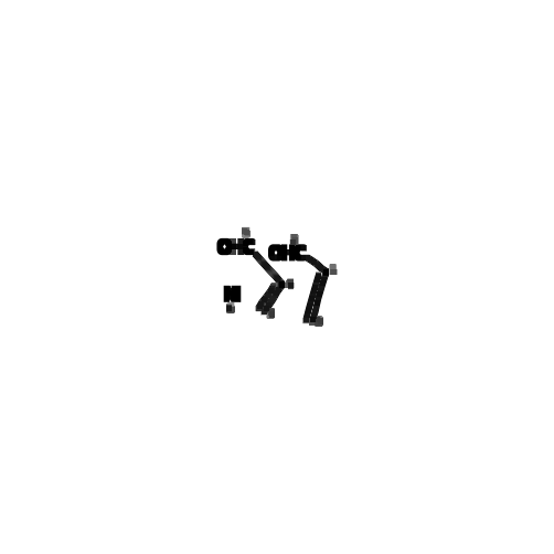 C=CC=O.C=CC=O.[Ni]